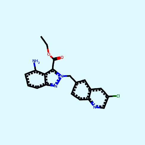 CCOC(=O)c1c2c(N)cccc2nn1Cc1ccc2ncc(Cl)cc2c1